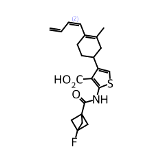 C=C/C=C\C1=C(C)CC(c2csc(NC(=O)C34CC(F)(C3)C4)c2C(=O)O)CC1